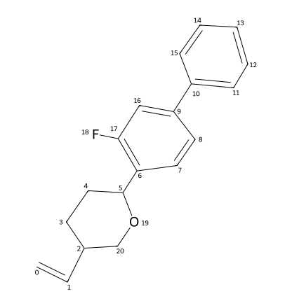 C=CC1CCC(c2ccc(-c3ccccc3)cc2F)OC1